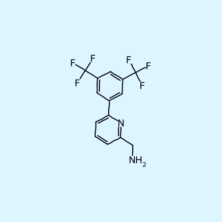 NCc1cccc(-c2cc(C(F)(F)F)cc(C(F)(F)F)c2)n1